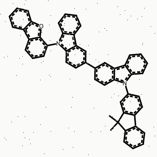 CC1(C)c2ccccc2-c2ccc(-n3c4ccccc4c4cc(-c5ccc6c(c5)c5ccccc5n6-c5cccc6c5oc5ccccc56)ccc43)cc21